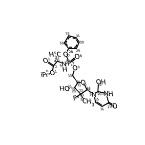 CC(C)OC(=O)[C@H](C)N[P@](=O)(OC[C@H]1O[C@@H](N2C=CC(=O)NC2O)[C@](C)(F)[C@@H]1O)Oc1ccccc1